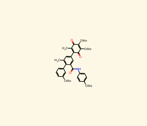 COC1=C(OC)C(=O)C(c2cc(C)c(-c3cccc(OC)c3)c(C(=O)Nc3ccc(OC)cc3)c2)=C(C)C1=O